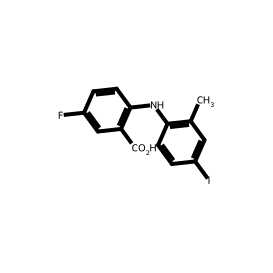 Cc1cc(I)ccc1Nc1ccc(F)cc1C(=O)O